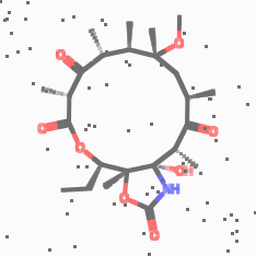 CC[C@H]1OC(=O)[C@H](C)C(=O)[C@H](C)[C@@H](C)[C@](C)(OC)C[C@@H](C)C(=O)[C@H](C)[C@@]2(O)NC(=O)O[C@]12C